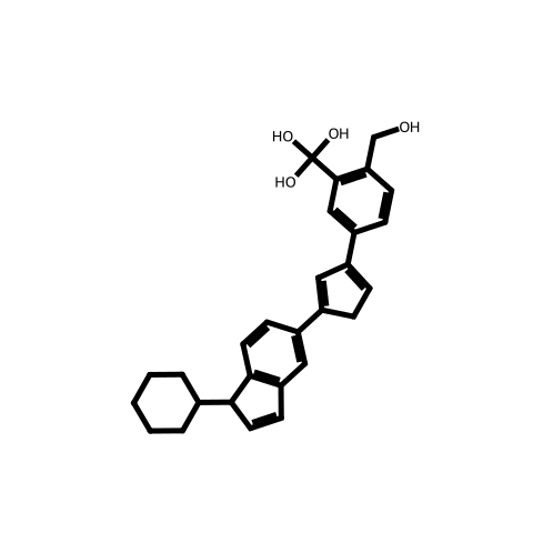 OCc1ccc(C2=CCC(c3ccc4c(c3)C=CC4C3CCCCC3)=C2)cc1C(O)(O)O